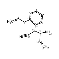 C=CCc1ccccc1C(C#N)C(N)C=C